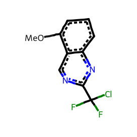 COc1cccc2nc(C(F)(F)Cl)ncc12